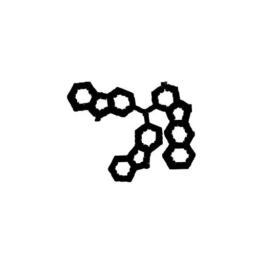 c1ccc2cc3c(cc2c1)sc1cncc(N(c2ccc4c(c2)sc2ccccc24)c2ccc4sc5ccccc5c4c2)c13